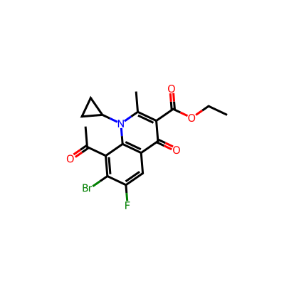 CCOC(=O)c1c(C)n(C2CC2)c2c(C(C)=O)c(Br)c(F)cc2c1=O